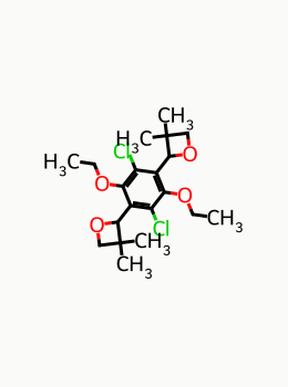 CCOc1c(Cl)c(C2OCC2(C)C)c(OCC)c(Cl)c1C1OCC1(C)C